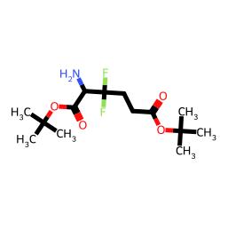 CC(C)(C)OC(=O)CCC(F)(F)C(N)C(=O)OC(C)(C)C